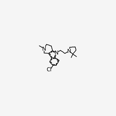 CN1CCc2c(c3cc(Cl)ccc3n2CCN2CCCC2(C)C)C1